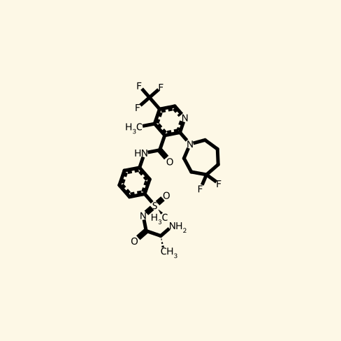 Cc1c(C(F)(F)F)cnc(N2CCCC(F)(F)CC2)c1C(=O)Nc1cccc([S@@](C)(=O)=NC(=O)[C@@H](C)N)c1